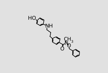 CN(OCc1ccccc1)C(=O)c1ccc(CCCNc2ccc(O)cc2)cc1